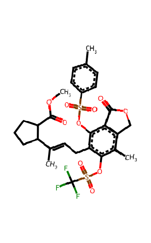 COC(=O)C1CCCC1/C(C)=C/Cc1c(OS(=O)(=O)C(F)(F)F)c(C)c2c(c1OS(=O)(=O)c1ccc(C)cc1)C(=O)OC2